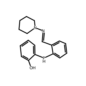 Oc1ccccc1Pc1ccccc1/C=N/N1CCCCC1